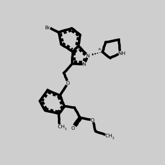 CCOC(=O)Cc1c(C)cccc1OCc1nn([C@@H]2CCNC2)c2ccc(Br)cc12